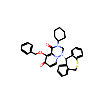 O=C1c2c(OCc3ccccc3)c(=O)ccn2N([C@H]2c3ccccc3CSc3ccccc32)CN1C1CCCCC1